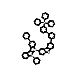 c1ccc(-c2ccc3c(c2)c2c4ccccc4n(-c4ccccc4)c2n3-c2ccc3oc4ccc(-c5cccc(-c6cccc([Si](c7ccccc7)(c7ccccc7)c7ccccc7)c6)c5)cc4c3c2)cc1